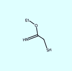 CCOC(=N)CS